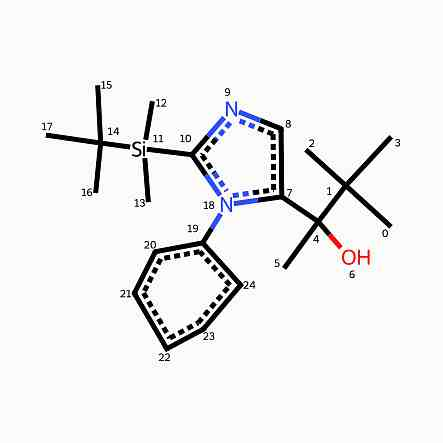 CC(C)(C)C(C)(O)c1cnc([Si](C)(C)C(C)(C)C)n1-c1ccccc1